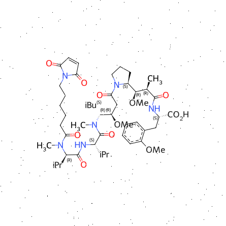 CC[C@H](C)[C@H]([C@@H](CC(=O)N1CCC[C@H]1[C@H](OC)[C@@H](C)C(=O)N[C@@H](Cc1ccccc1OC)C(=O)O)OC)N(C)C(=O)[C@@H](NC(=O)[C@@H](C(C)C)N(C)C(=O)CCCCCN1C(=O)C=CC1=O)C(C)C